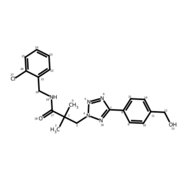 CC(C)(Cn1nnc(-c2ccc(CO)cc2)n1)C(=O)NCc1ccccc1Cl